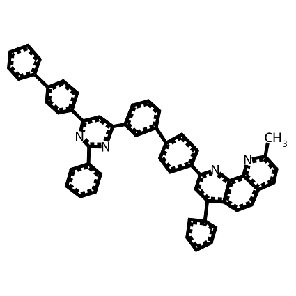 Cc1ccc2ccc3c(-c4ccccc4)cc(-c4ccc(-c5cccc(-c6cc(-c7ccc(-c8ccccc8)cc7)nc(-c7ccccc7)n6)c5)cc4)nc3c2n1